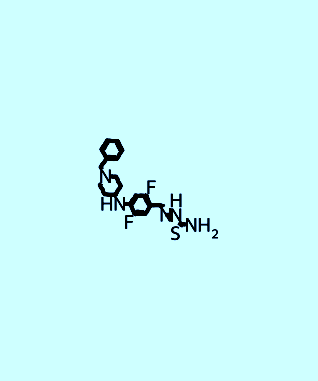 NC(=S)NN=Cc1cc(F)c(NC2CCN(Cc3ccccc3)CC2)cc1F